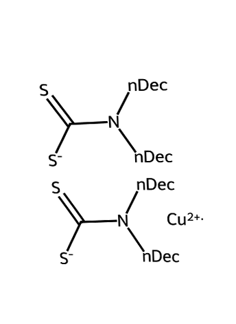 CCCCCCCCCCN(CCCCCCCCCC)C(=S)[S-].CCCCCCCCCCN(CCCCCCCCCC)C(=S)[S-].[Cu+2]